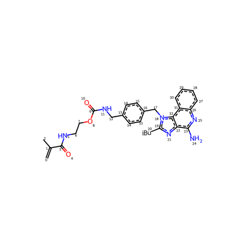 C=C(C)C(=O)NCCOC(=O)NCc1ccc(Cn2c(C(C)CC)nc3c(N)nc4ccccc4c32)cc1